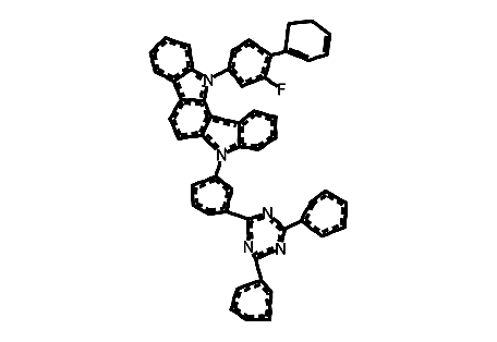 Fc1cc(-n2c3ccccc3c3ccc4c(c5ccccc5n4-c4cccc(-c5nc(-c6ccccc6)nc(-c6ccccc6)n5)c4)c32)ccc1C1=CC=CCC1